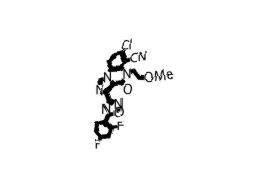 COCCn1c(=O)c2c(-c3noc(-c4ccc(F)cc4F)n3)ncn2c2ccc(Cl)c(C#N)c21